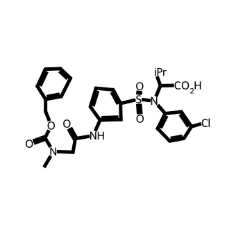 CC(C)C(C(=O)O)N(c1cccc(Cl)c1)S(=O)(=O)c1cccc(NC(=O)CN(C)C(=O)OCc2ccccc2)c1